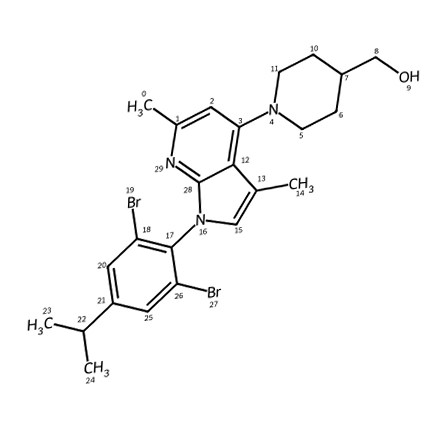 Cc1cc(N2CCC(CO)CC2)c2c(C)cn(-c3c(Br)cc(C(C)C)cc3Br)c2n1